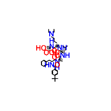 CCN(CC)CCCC[C@H](NC(=O)[C@H](CC(C)C)NC(=O)[C@H](C)NC(=O)C(Cc1ccccc1)NC(=O)c1ccc(C(C)(C)C)cc1)C(=O)N[C@@H](CO)C(=O)OC